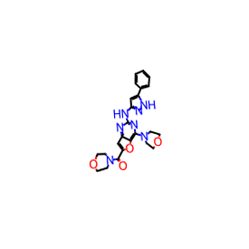 O=C(c1cc2nc(Nc3cc(-c4ccccc4)[nH]n3)nc(N3CCOCC3)c2o1)N1CCOCC1